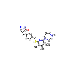 CCc1c(C#N)c(SCc2ccc(CC(C)C(N)=O)cc2)nc(N2CCCN(C)CC2)c1C#N